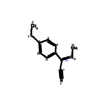 CSc1ccc(/C(C#N)=N\O)cc1